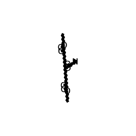 CCCCCCOC(=O)CC(=O)CCCCCCCCC(CCCCCCCCC(=O)CC(=O)OCCCCCC)OC(=O)CCCN(C)C